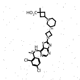 C[C@@H](Nc1ncnc2nc(N3CC([C@H]4CCCN(C5CC(C)(C(=O)O)C5)C4)C3)sc12)c1ccc(Cl)cc1Cl